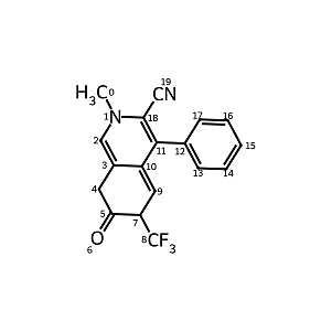 CN1C=C2CC(=O)C(C(F)(F)F)C=C2C(c2ccccc2)=C1C#N